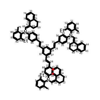 CCc1cccc(C)c1N(/C=C1/CCCc2ccccc21)c1ccc(/C=C/c2cc(/C=C/c3ccc(N(/C=C4\CCCc5ccccc54)c4c(C)cccc4CC)cc3)cc(/C=C/c3ccc(N(/C=C4\CCCc5ccccc54)c4c(C)cccc4CC)cc3)c2)cc1